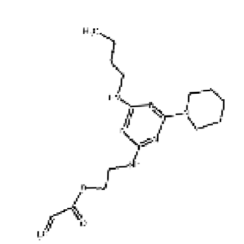 C=CC(=O)OCCNc1nc(NCCCC)nc(N2CCCCC2)n1